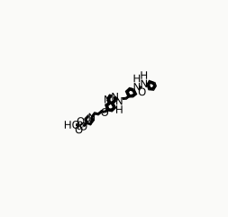 O=C(Nc1ccccc1)Nc1ccc(CCNc2ncnc3cc(OCCCN4CCC(OP(=O)(O)O)CC4)ccc23)cc1